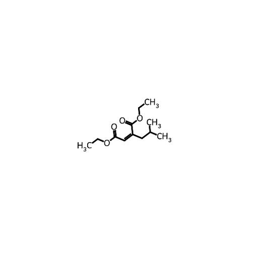 CCOC(=O)C=C(CC(C)C)C(=O)OCC